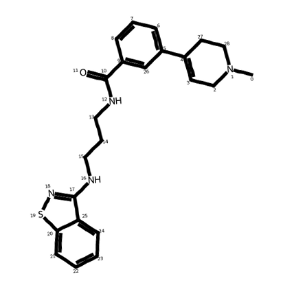 CN1CC=C(c2cccc(C(=O)NCCCNc3nsc4ccccc34)c2)CC1